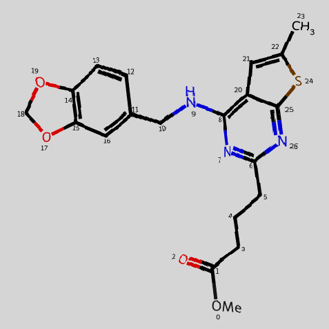 COC(=O)CCCc1nc(NCc2ccc3c(c2)OCO3)c2cc(C)sc2n1